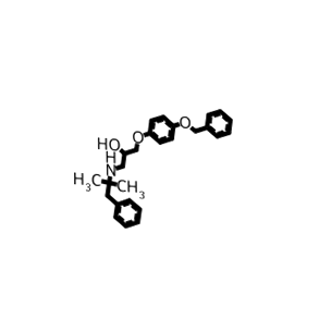 CC(C)(Cc1ccccc1)NCC(O)COc1ccc(OCc2ccccc2)cc1